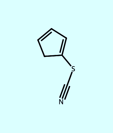 N#CSC1=CC=CC1